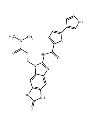 CN(C)C(=O)CCn1c(NC(=O)c2ccc(-c3cn[nH]c3)s2)nc2cc3[nH]c(=O)[nH]c3cc21